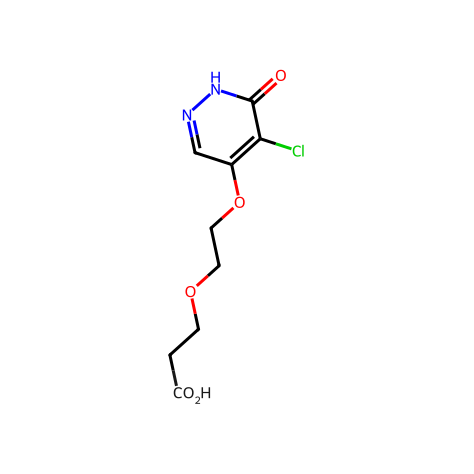 O=C(O)CCOCCOc1cn[nH]c(=O)c1Cl